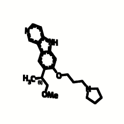 COC[C@@H](C)c1cc2c(cc1OCCCN1CCCC1)[nH]c1ccncc12